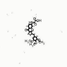 COc1cc(C=C2CCc3c2oc2cc(NC(=O)C(=O)O)ccc2c3=O)cc(OC)c1OC